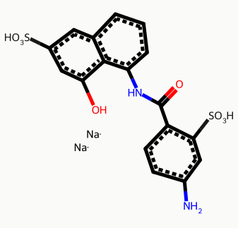 Nc1ccc(C(=O)Nc2cccc3cc(S(=O)(=O)O)cc(O)c23)c(S(=O)(=O)O)c1.[Na].[Na]